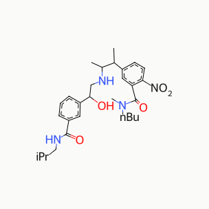 CCCCN(C)C(=O)c1cc(C(C)C(C)NCC(O)c2cccc(C(=O)NCC(C)C)c2)ccc1[N+](=O)[O-]